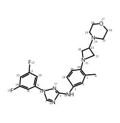 Cc1cc(Nc2ncn(-c3cc(F)cc(F)c3)n2)ccc1N1CC(N2CCOCC2)C1